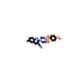 COc1ccc(S(=O)(=O)N2CCN(c3nc4ccc(C)cc4cc3C#N)CC2)cc1